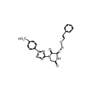 O=C1CN(c2nnn(-c3ccc(C(=O)O)cc3)n2)C(=O)C(=C=NO/C=C/c2ccccc2)N1